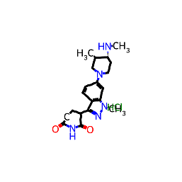 CN[C@@H]1CCN(c2ccc3c(C4CCC(=O)NC4=O)nn(C)c3c2)C[C@H]1C.Cl